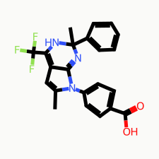 Cc1cc2c(n1-c1ccc(C(=O)O)cc1)=NC(C)(c1ccccc1)NC=2C(F)(F)F